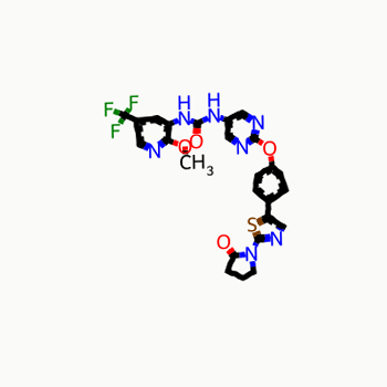 COc1ncc(C(F)(F)F)cc1NC(=O)Nc1cnc(Oc2ccc(-c3cnc(N4CCCC4=O)s3)cc2)nc1